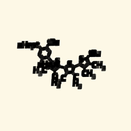 CCCCCCCc1cc(CCCCCCC)c(C(C)(C)C)cc1-c1sc(-c2sc(-c3sc(C(C)(C)C)c(C)c3C)c(C)c2C)c(C)c1C